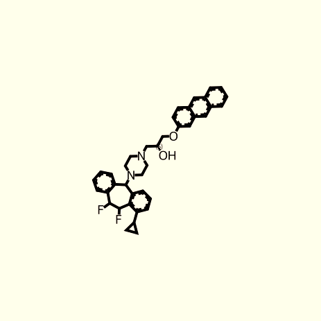 O[C@H](COc1ccc2cc3ccccc3cc2c1)CN1CCN(C2c3ccccc3C(F)C(F)c3c(C4CC4)cccc32)CC1